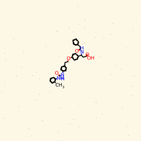 Cc1ccccc1NC(=O)Nc1ccc(CCOc2ccc(C(CC(=O)O)NC(=O)Cc3ccccc3)cc2)cc1